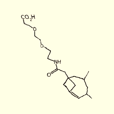 CC1C=C2CC(CC(=O)NCCOCCOCC(=O)O)(C2)CC(C)C1